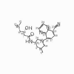 C[C@H]1C[C@@H](NC(=O)C[C@@H](O)CN(C)C)CN(c2ccc(C#N)c3nccnc23)C1